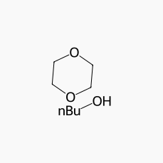 C1COCCO1.CCCCO